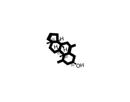 CC1=C2C[C@@H](O)CC(C)[C@]2(C)[C@H]2CC[C@]3(C)C=CC[C@H]3[C@@H]2C1